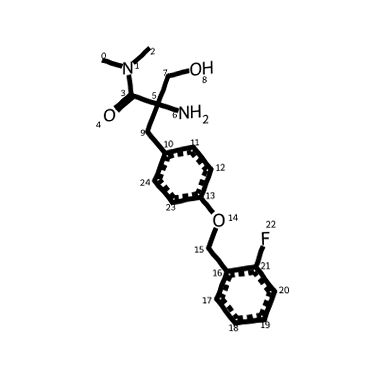 CN(C)C(=O)C(N)(CO)Cc1ccc(OCc2ccccc2F)cc1